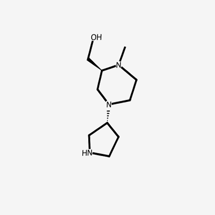 CN1CCN([C@@H]2CCNC2)C[C@H]1CO